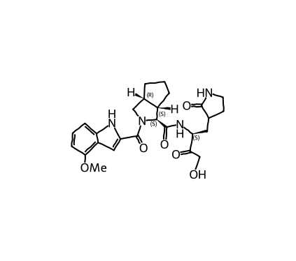 COc1cccc2[nH]c(C(=O)N3C[C@@H]4CCC[C@@H]4[C@H]3C(=O)N[C@@H](CC3CCNC3=O)C(=O)CO)cc12